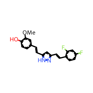 COc1cc(C=Cc2cc(C=Cc3ccc(F)cc3F)n[nH]2)ccc1O